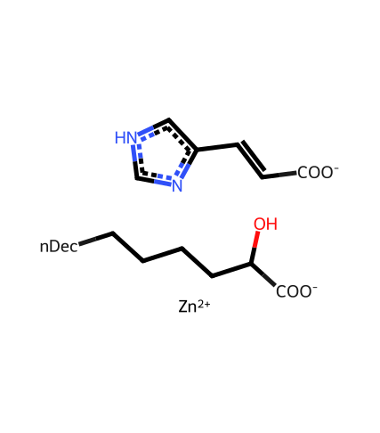 CCCCCCCCCCCCCCC(O)C(=O)[O-].O=C([O-])C=Cc1c[nH]cn1.[Zn+2]